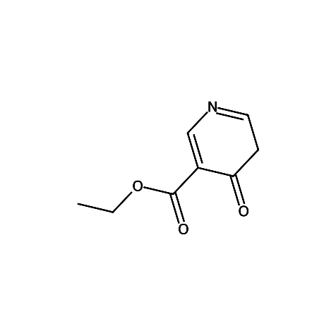 CCOC(=O)C1=CN=CCC1=O